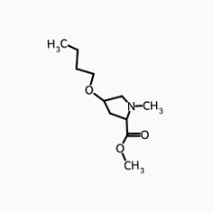 CCCCOC1CC(C(=O)OC)N(C)C1